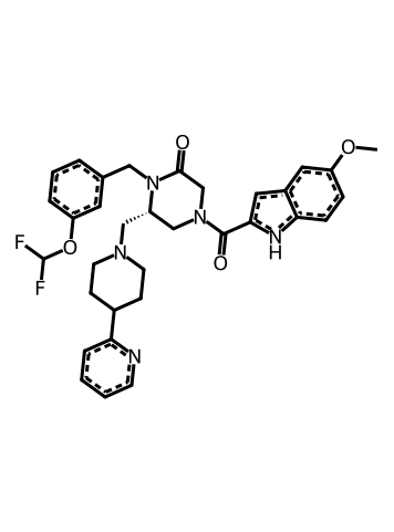 COc1ccc2[nH]c(C(=O)N3CC(=O)N(Cc4cccc(OC(F)F)c4)[C@@H](CN4CCC(c5ccccn5)CC4)C3)cc2c1